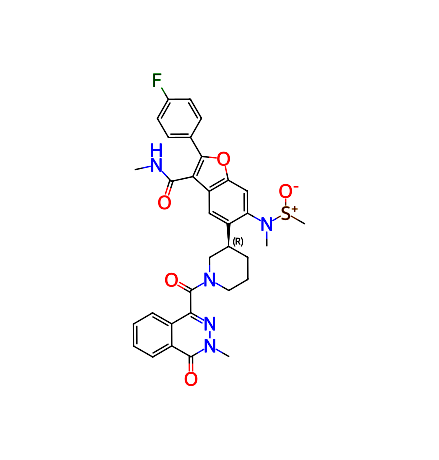 CNC(=O)c1c(-c2ccc(F)cc2)oc2cc(N(C)[S+](C)[O-])c([C@H]3CCCN(C(=O)c4nn(C)c(=O)c5ccccc45)C3)cc12